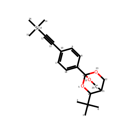 CC(C)(C)C1OC2(c3ccc(C#C[Si](C)(C)C)cc3)OCC1CO2